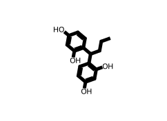 CCCC(c1ccc(O)cc1O)c1ccc(O)cc1O